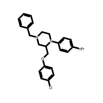 CCCc1ccc(N2CCN(Cc3ccccc3)CC2COc2ccc(Cl)cc2)cc1